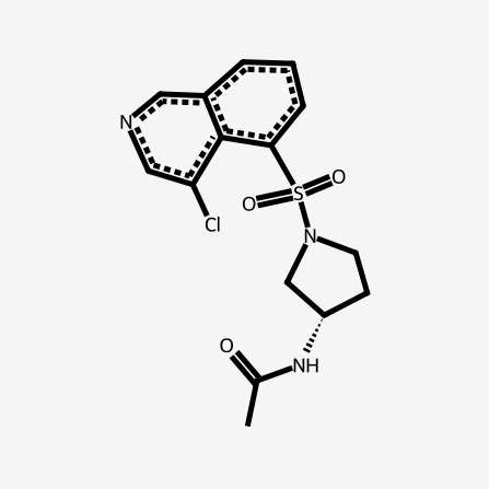 CC(=O)N[C@H]1CCN(S(=O)(=O)c2cccc3cncc(Cl)c23)C1